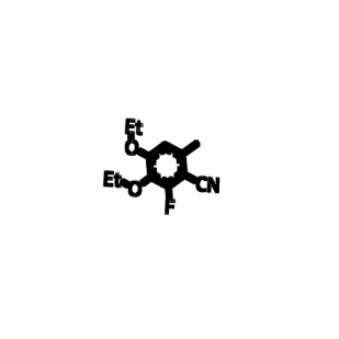 CCOc1cc(C)c(C#N)c(F)c1OCC